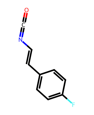 O=C=NC=Cc1ccc(F)cc1